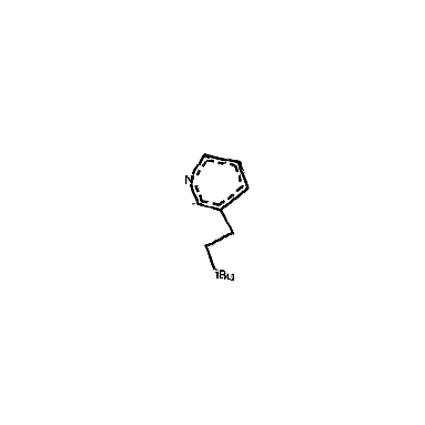 CCC(C)CCc1[c]nccc1